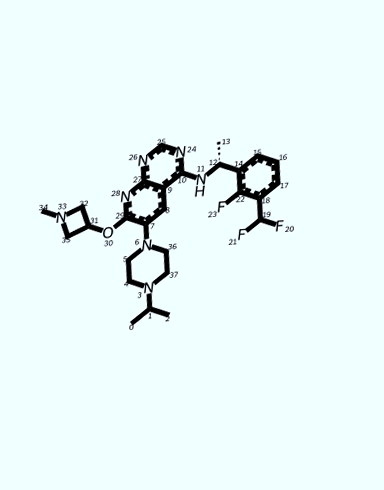 CC(C)N1CCN(c2cc3c(N[C@H](C)c4cccc(C(F)F)c4F)ncnc3nc2OC2CN(C)C2)CC1